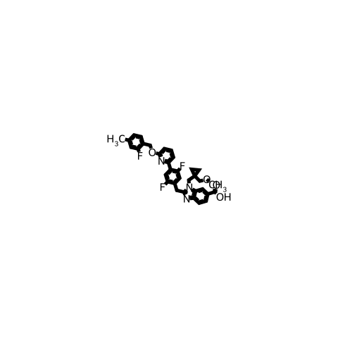 COCC1(Cn2c(Cc3cc(F)c(-c4cccc(OCc5ccc(C)cc5F)n4)cc3F)nc3ccc(C(=O)O)cc32)CC1